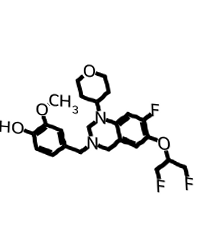 COc1cc(CN2Cc3cc(OC(CF)CF)c(F)cc3N(C3CCOCC3)C2)ccc1O